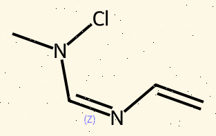 C=C/N=C\N(C)Cl